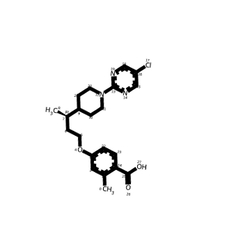 Cc1cc(OCC[C@@H](C)C2CCN(c3ncc(Cl)cn3)CC2)ccc1C(=O)O